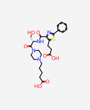 O=C(O)CCCCN1CCN(C(=O)[C@H](CO)NC(=O)c2nc(-c3ccccc3)sc2CCC(=O)O)CC1